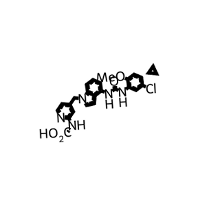 C1CC1.COc1ccc(Cl)cc1NC(=O)Nc1cccc2c1ccn2Cc1ccnc(NC(=O)O)c1